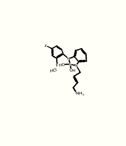 Cl.NCC=CCN1c2ccccc2N(c2ccc(F)cc2F)S1(O)O